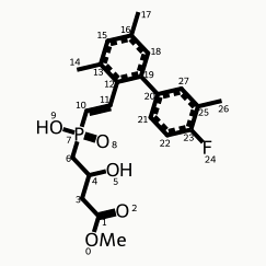 COC(=O)CC(O)CP(=O)(O)C=Cc1c(C)cc(C)cc1-c1ccc(F)c(C)c1